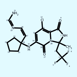 CC1(CC(F)(F)F)NC(=O)c2c(Cl)cc(NC3(/C=C\N=C/N)CCCC3)c(=O)n21